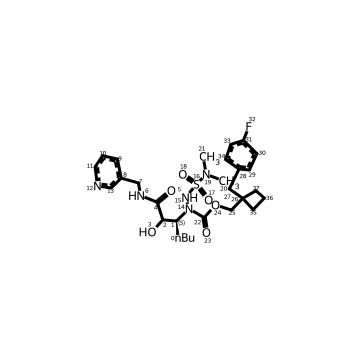 CCCC[C@@H](C(O)C(=O)NCc1cccnc1)N(NS(=O)(=O)N(C)C)C(=O)OCC1(Cc2ccc(F)cc2)CCC1